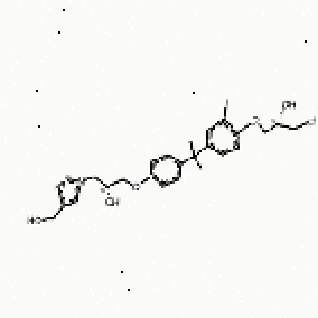 CC(C)(c1ccc(OC[C@H](O)Cn2cc(CO)nn2)cc1)c1ccc(OC[C@H](O)CCl)c(I)c1